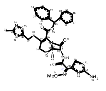 CO/N=C(\C(=O)N[C@@H]1C(=O)N2C(C(=O)OC(c3ccccc3)c3ccccc3)=C(SCc3nc(C)ns3)CS[C@H]12)c1csc(N)n1